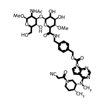 CO[C@@H]1OC(CO)[C@@H](O)[C@H](O[C@@H]2OC(C(=O)NCc3ccc(COC(=O)n4ccc5c(N(C)[C@H]6CN(C(=O)CC#N)CC[C@H]6C)ncnc54)cc3)[C@@H](OC)[C@H](O)C2O)C1NC(C)=O